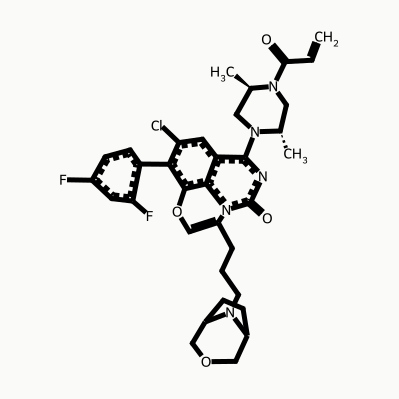 C=CC(=O)N1C[C@H](C)N(c2nc(=O)n3c4c(c(-c5ccc(F)cc5F)c(Cl)cc24)OC=C3CCCN2C3CCC2COC3)C[C@H]1C